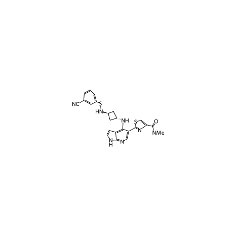 CNC(=O)c1csc(-c2cnc3[nH]ccc3c2N[C@H]2C[C@H](NSc3cccc(C#N)c3)C2)n1